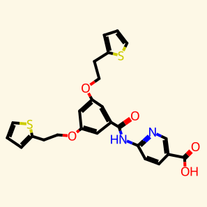 O=C(O)c1ccc(NC(=O)c2cc(OCCc3cccs3)cc(OCCc3cccs3)c2)nc1